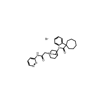 O=C(C[N+]12CCC(CC1)C(OC(=O)C1(c3ccccc3)CCCCCC1)C2)Nc1cccnn1.[Br-]